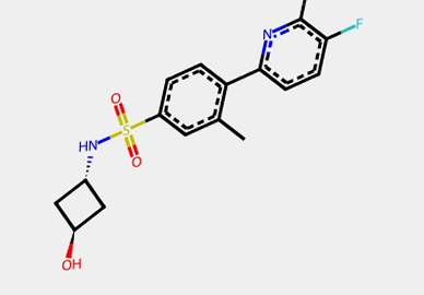 Cc1cc(S(=O)(=O)N[C@H]2C[C@H](O)C2)ccc1-c1ccc(F)c(C#N)n1